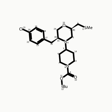 CSC[C@H]1CN(C2CCN(C(=O)OC(C)(C)C)CC2)[C@@H](Cc2ccc(Cl)cc2)CO1